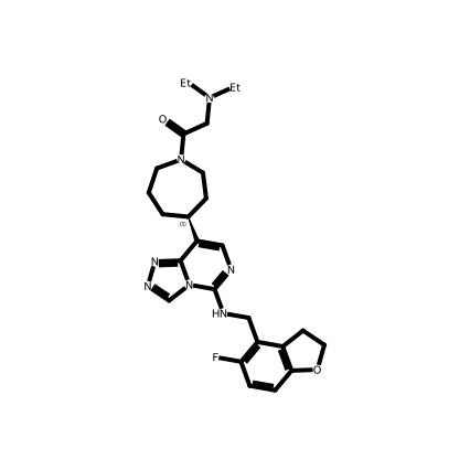 CCN(CC)CC(=O)N1CCC[C@H](c2cnc(NCc3c(F)ccc4c3CCO4)n3cnnc23)CC1